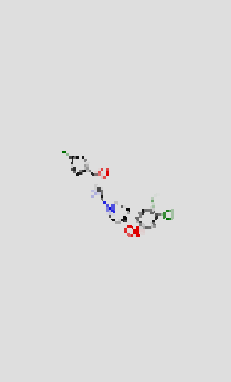 O=C(/C=C/CN1CCC(O)(c2ccc(Cl)c(Cl)c2)CC1)c1ccc(F)cc1